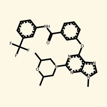 CC1CN(c2nc(Oc3cccc(C(=O)Nc4cccc(C(F)(F)F)c4)c3)c3ncn(C)c3n2)CC(C)O1